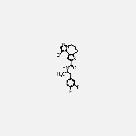 C[C@H](Cc1ccc(F)c(F)c1)NC(=O)c1cc2c(s1)OCCn1ncc(Cl)c1-2